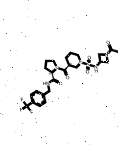 CC(=O)N1CC(NS(=O)(=O)N2CCC[C@H](C(=O)N3CCC[C@@H]3C(=O)NCc3ccc(C(F)(F)F)cc3)C2)C1